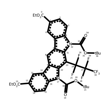 CCOC(=O)c1ccc2c(c1)c1cc3c4cc(C(=O)OCC)ccc4n(C(=O)OC(C)(C)C)c3c(C(F)(F)C(F)(F)C(F)(F)F)c1n2C(=O)OC(C)(C)C